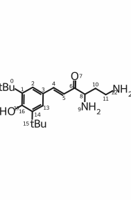 CC(C)(C)c1cc(C=CC(=O)C(N)CCN)cc(C(C)(C)C)c1O